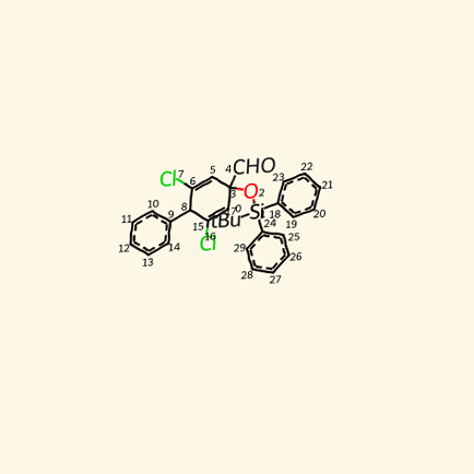 CC(C)(C)[Si](OC1(C=O)C=C(Cl)C(c2ccccc2)C(Cl)=C1)(c1ccccc1)c1ccccc1